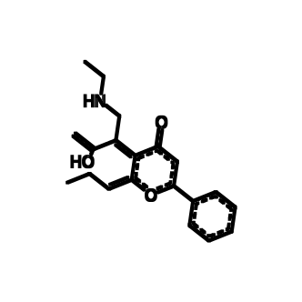 C=C(O)/C(CNCC)=c1/c(=O)cc(-c2ccccc2)o/c1=C/CC